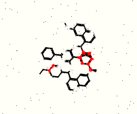 CCC1CN2CCC1CC2C(Oc1nc(-c2ccccc2)nc(OC(c2ccnc3ccc(OC)cc23)C2CC3CCN2CC3CC)c1-c1ccccc1)c1ccnc2ccc(OC)cc12